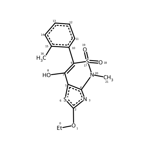 CCOc1nc2c(s1)C(O)=C(c1ccccc1C)S(=O)(=O)N2C